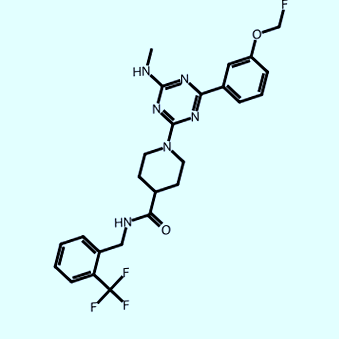 CNc1nc(-c2cccc(OCF)c2)nc(N2CCC(C(=O)NCc3ccccc3C(F)(F)F)CC2)n1